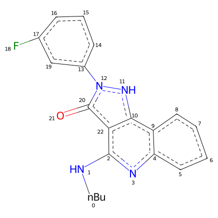 CCCCNc1nc2ccccc2c2[nH]n(-c3cccc(F)c3)c(=O)c12